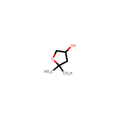 O=C(O)C1(C(=O)O)CC(O)CO1